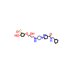 C[S+]([O-])c1cc(OCC(O)CCNC2CCN(c3ccc(C(=O)NCc4ccccc4)cn3)CC2)ccc1O